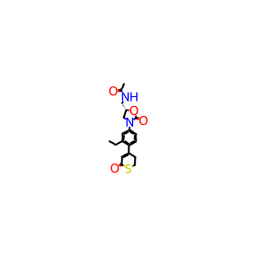 CCc1cc(N2C[C@H](CNC(C)=O)OC2=O)ccc1C1=CC(=O)SCC1